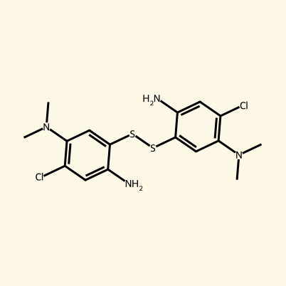 CN(C)c1cc(SSc2cc(N(C)C)c(Cl)cc2N)c(N)cc1Cl